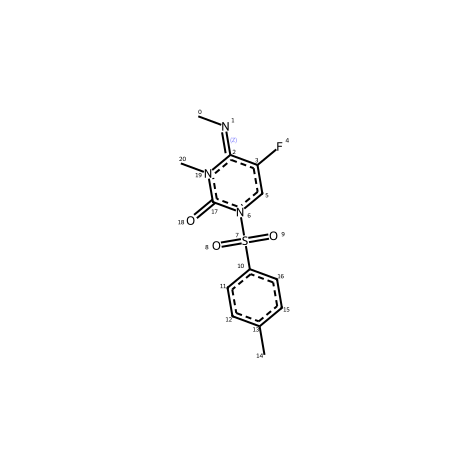 C/N=c1/c(F)cn(S(=O)(=O)c2ccc(C)cc2)c(=O)n1C